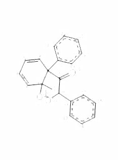 CC1(O)C=CC=CC1(C(=O)C(O)c1ccccc1)c1ccccc1